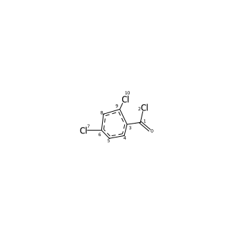 C=C(Cl)c1ccc(Cl)cc1Cl